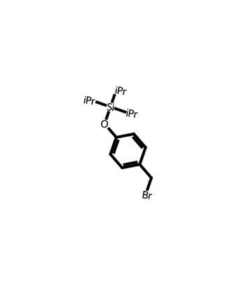 CC(C)[Si](Oc1ccc(CBr)cc1)(C(C)C)C(C)C